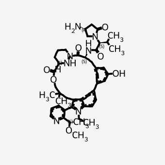 CCn1c(-c2cccnc2[C@H](C)OC)c2c3cc(ccc31)-c1cc(O)cc(c1)C[C@H](NC(=O)[C@H](C(C)C)N1C[C@H](N)CC1=O)C(=O)N1CCC[C@H](N1)C(=O)OCC(C)(C)C2